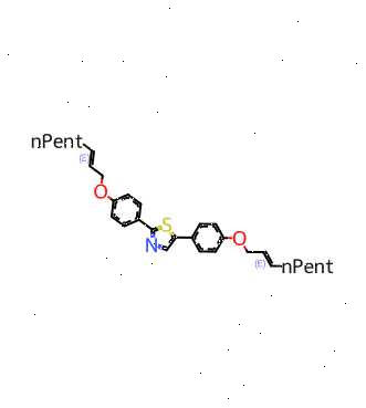 CCCCC/C=C/COc1ccc(-c2cnc(-c3ccc(OC/C=C/CCCCC)cc3)s2)cc1